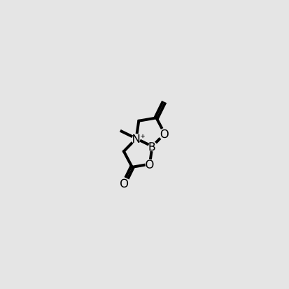 C=C1C[N+]2(C)CC(=O)OB2O1